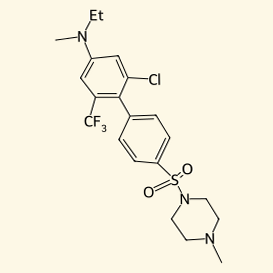 CCN(C)c1cc(Cl)c(-c2ccc(S(=O)(=O)N3CCN(C)CC3)cc2)c(C(F)(F)F)c1